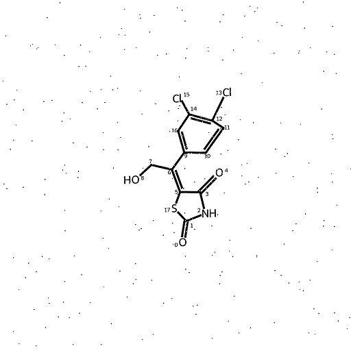 O=C1NC(=O)C(=C(CO)c2ccc(Cl)c(Cl)c2)S1